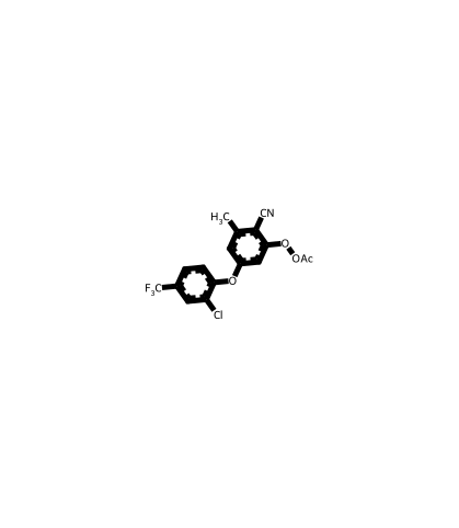 CC(=O)OOc1cc(Oc2ccc(C(F)(F)F)cc2Cl)cc(C)c1C#N